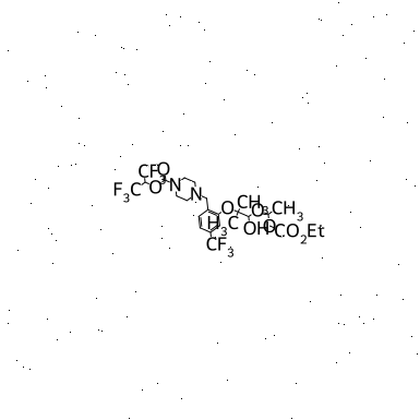 CCOC(=O)OC(C)OC(O)C(C)(C)Oc1cc(C(F)(F)F)ccc1CN1CCN(C(=O)OC(C(F)(F)F)C(F)(F)F)CC1